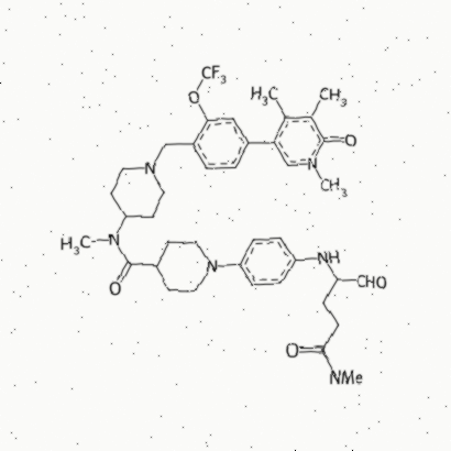 CNC(=O)CCC(C=O)Nc1ccc(N2CCC(C(=O)N(C)C3CCN(Cc4ccc(-c5cn(C)c(=O)c(C)c5C)cc4OC(F)(F)F)CC3)CC2)cc1